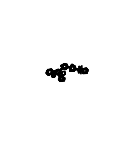 c1cc(-c2ccc(-c3cn4ccccc4n3)cc2)cc(-c2cc3c4ccccc4oc3c3c2oc2ccccc23)c1